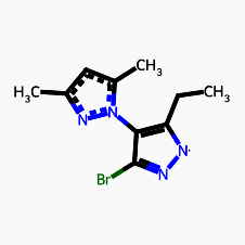 CCC1=C(n2nc(C)cc2C)C(Br)=N[N]1